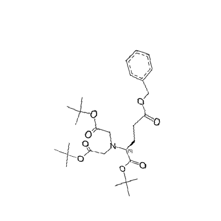 CC(C)(C)OC(=O)CN(CC(=O)OC(C)(C)C)[C@@H](CCC(=O)OCc1ccccc1)C(=O)OC(C)(C)C